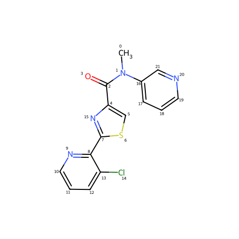 CN(C(=O)c1csc(-c2ncccc2Cl)n1)c1cccnc1